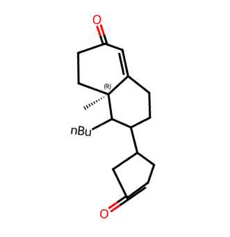 CCCCC1C(C2CCC(=O)C2)CCC2=CC(=O)CC[C@@]21C